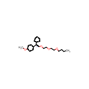 CCCCOCCOCCO/C=C(\c1ccccc1)c1ccc(OC)cc1